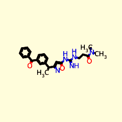 CC(c1cccc(C(=O)c2ccccc2)c1)c1cc(NC(=N)NCCC(=O)N(C)C)on1